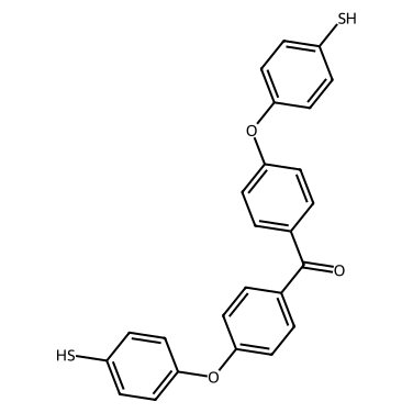 O=C(c1ccc(Oc2ccc(S)cc2)cc1)c1ccc(Oc2ccc(S)cc2)cc1